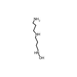 NCCCNCCCCNO